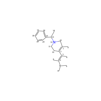 CC1=C(/C(C)=C(\C)C(C)C)CCN(C(C)c2ccccc2)C1